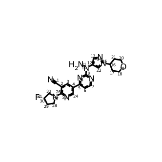 N#Cc1cc(-c2ccnc(N(N)c3cnn(C4CCOCC4)c3)n2)cnc1N1CC[C@H](F)C1